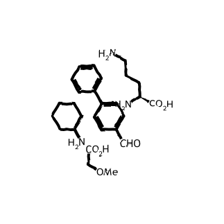 COCC(=O)O.NC1CCCCC1.NCCC[C@H](N)C(=O)O.O=Cc1ccc(-c2ccccc2)cc1